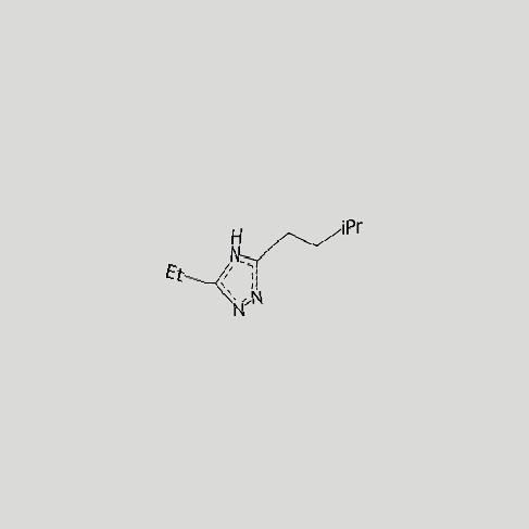 CCc1nnc(CCC(C)C)[nH]1